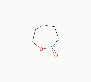 O=[N+]1C[CH]CCCO1